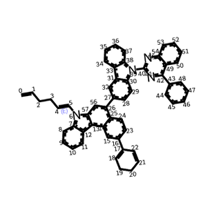 C=CCC/C=C/n1c2ccccc2c2c3cc(C4=CCCC=C4)ccc3c(-c3ccc4c(c3)c3ccccc3n4-c3nc(-c4ccccc4)c4ccccc4n3)cc21